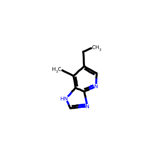 CCc1cnc2nc[nH]c2c1C